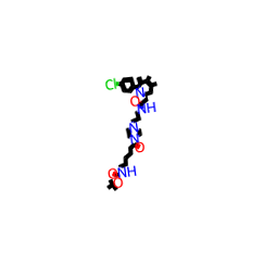 C=C1C(c2ccc(Cl)cc2)=N[C@H](CC(=O)NCCCN2CCN(C(=O)CCCCCNC(=O)OC(C)(C)C)CC2)CC(C)=C1C